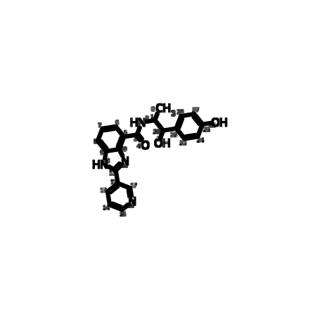 CC(NC(=O)c1cccc2[nH]c(-c3cccnc3)nc12)C(O)c1ccc(O)cc1